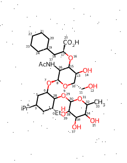 CC[C@@H]1CC(C(C)C)CC(O[C@@H]2O[C@@H](CO)C(O)C(O[C@@H](CC3CCCCC3)C(=O)O)C2NC(C)=O)C1OC1OC(C)C(O)C(O)C1O